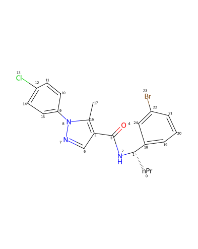 CCC[C@H](NC(=O)c1cnn(-c2ccc(Cl)cc2)c1C)c1cccc(Br)c1